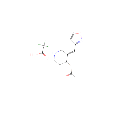 CC(=O)SC1CCNC/C1=C\c1ccon1.O=C(O)C(F)(F)F